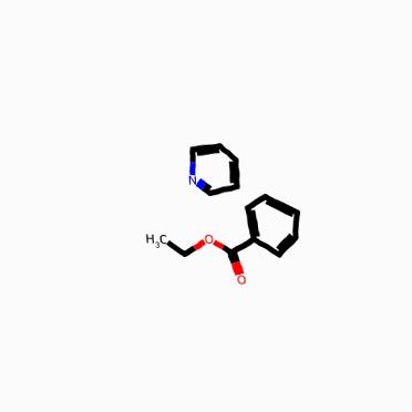 CCOC(=O)c1ccccc1.c1ccncc1